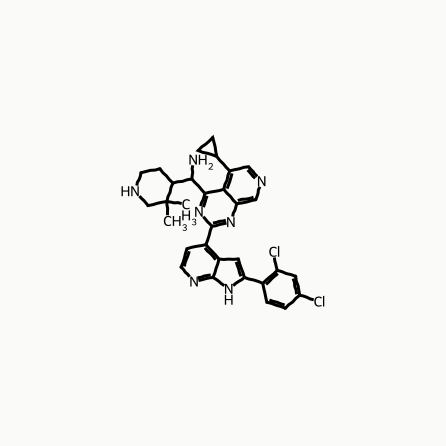 CC1(C)CNCCC1C(N)c1nc(-c2ccnc3[nH]c(-c4ccc(Cl)cc4Cl)cc23)nc2cncc(C3CC3)c12